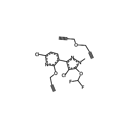 C#CCOCC#C.C#CCOc1nc(Cl)ccc1-c1nn(C)c(OC(F)F)c1Cl